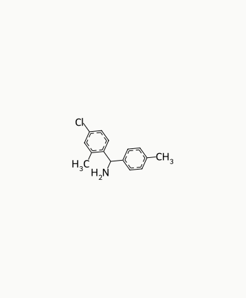 Cc1ccc(C(N)c2ccc(Cl)cc2C)cc1